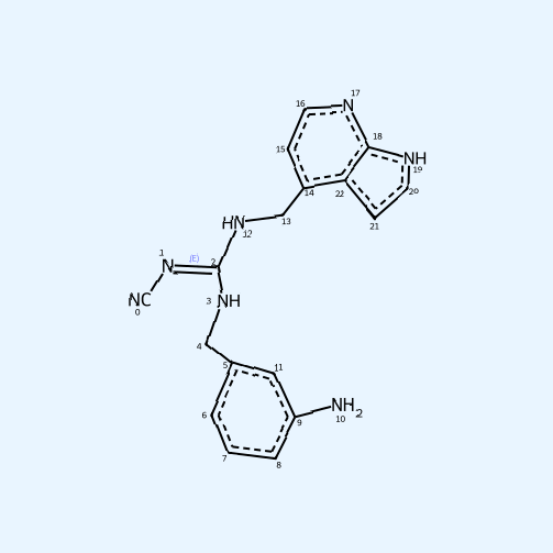 N#C/N=C(\NCc1cccc(N)c1)NCc1ccnc2[nH]ccc12